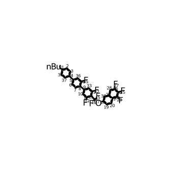 CCCCc1ccc(-c2ccc(-c3cc(F)c(C(F)(F)Oc4ccc5c(F)c(F)c(F)cc5c4)c(F)c3)c(F)c2)cc1